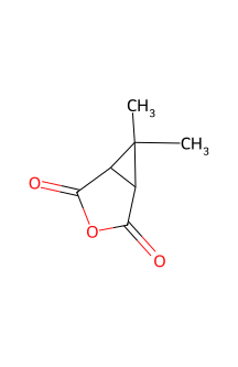 CC1(C)C2C(=O)OC(=O)C21